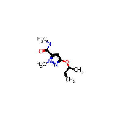 C=CC(C)Oc1cc(C(=O)N=C)n(C)n1